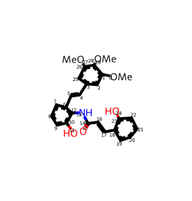 COc1cc(/C=C/c2cccc(O)c2NC(=O)/C=C/c2ccccc2O)cc(OC)c1OC